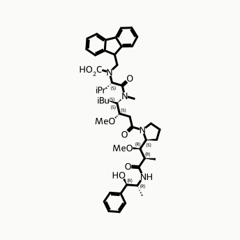 CC[C@H](C)[C@@H]([C@H](CC(=O)N1CCC[C@H]1[C@H](OC)[C@@H](C)C(=O)N[C@H](C)[C@H](O)c1ccccc1)OC)N(C)C(=O)[C@H](C(C)C)N(CC1c2ccccc2-c2ccccc21)C(=O)O